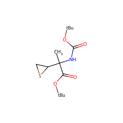 CC(C)(C)OC(=O)NC(C)(C(=O)OC(C)(C)C)C1CS1